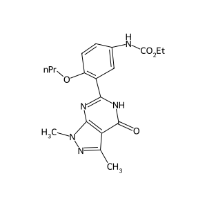 CCCOc1ccc(NC(=O)OCC)cc1-c1nc2c(c(C)nn2C)c(=O)[nH]1